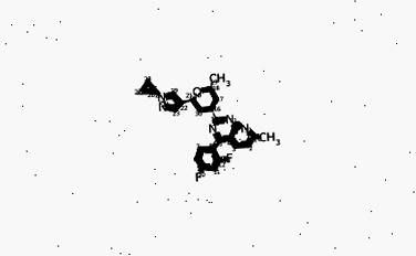 Cc1ccc2c(-c3ccc(F)cc3F)nc([C@H]3C[C@@H](C)O[C@H](c4cnn(C5CC5)c4)C3)nc2n1